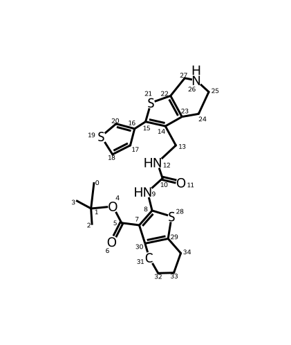 CC(C)(C)OC(=O)c1c(NC(=O)NCc2c(-c3ccsc3)sc3c2CCNC3)sc2c1CCCC2